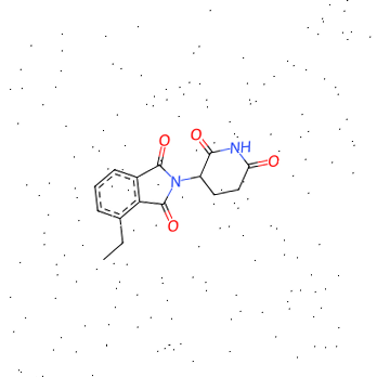 CCc1cccc2c1C(=O)N(C1CCC(=O)NC1=O)C2=O